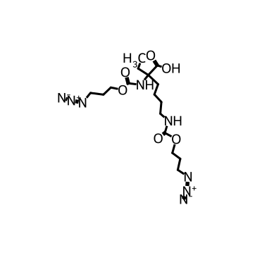 CCC(CCCCNC(=O)OCCCN=[N+]=[N-])(NC(=O)OCCCN=[N+]=[N-])C(=O)O